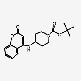 CC(C)(C)OC(=O)N1CCC(Nc2cc(=O)oc3ccccc23)CC1